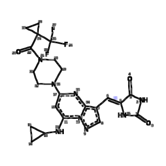 O=C1NC(=O)/C(=C/c2cnn3c(NC4CC4)cc(N4CCN(C(=O)C5(C(F)(F)F)CC5)CC4)nc23)N1